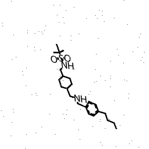 CCCCc1ccc(CNCC2CCC(CNS(=O)(=O)C(C)(C)C)CC2)cc1